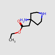 CCOC(=O)CC1(N)CCNCC1